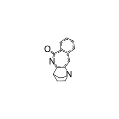 O=c1nc2c(cc3ccccc13)N1CCC2CC1